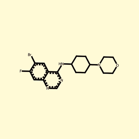 Fc1cc2ncnc(NC3CCC(N4CCOCC4)CC3)c2cc1Br